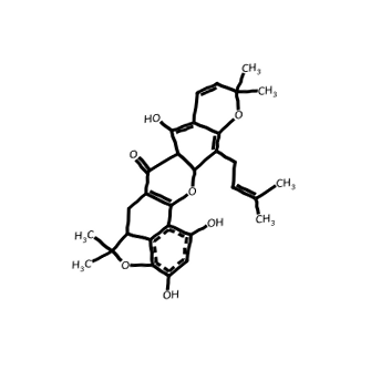 CC(C)=CCC1=C2OC(C)(C)C=CC2=C(O)C2C(=O)C3=C(OC12)c1c(O)cc(O)c2c1C(C3)C(C)(C)O2